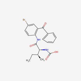 CC[C@H](C)[C@H](NC(=O)O)C(=O)Nc1ccc(Br)cc1C(=O)c1ccccc1